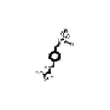 CCCC(CCC)C(=O)NCc1ccc(CCOP(=O)(OCC)OCC)cc1